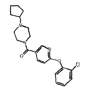 O=C(c1ccc(Oc2ccccc2Cl)nc1)N1CCN(C2CCCC2)CC1